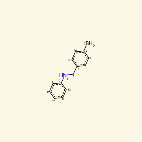 Bc1ccc(CNc2ccccc2)cc1